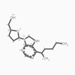 CCCCC(C)c1ncnc2c1NCN2C1CCC(CO)O1